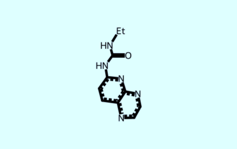 CCNC(=O)Nc1ccc2nccnc2n1